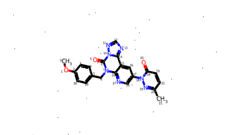 COc1ccc(Cn2c(=O)n3ncnc3c3cc(-n4nc(C)ccc4=O)cnc32)cc1